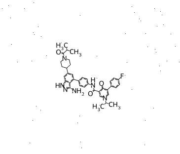 CC(C)C(=O)N1CCC(c2cc(-c3ccc(NC(=O)c4cn(C(C)C)cc(-c5ccc(F)cc5)c4=O)cc3)c3c(N)n[nH]c3c2)CC1